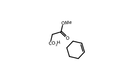 C1=CCCCC1.COC(=O)CC(=O)O